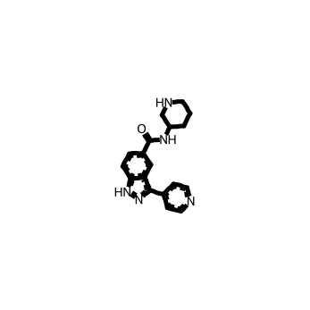 O=C(NC1CCCNC1)c1ccc2[nH]nc(-c3ccncc3)c2c1